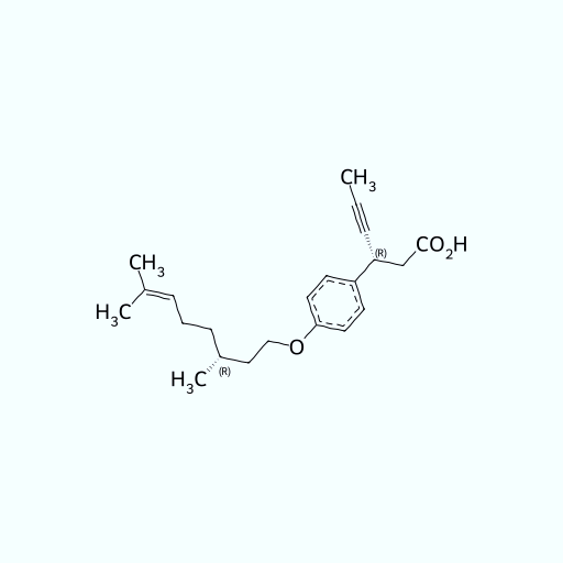 CC#C[C@H](CC(=O)O)c1ccc(OCC[C@H](C)CCC=C(C)C)cc1